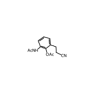 CC(=O)Nc1cccc(CCC#N)c1OC(C)=O